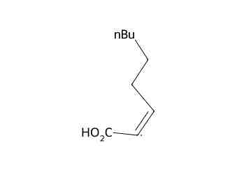 CCCCCC/C=[C]\C(=O)O